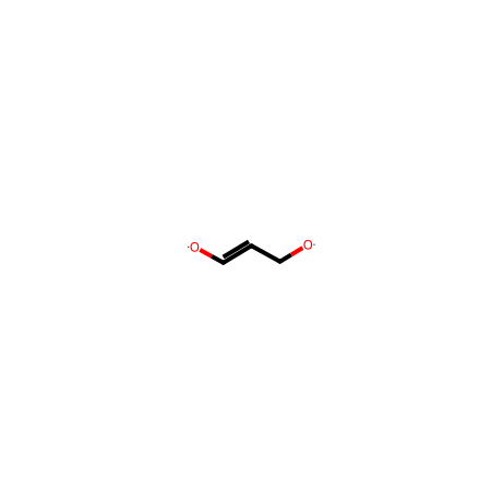 [O]C=CC[O]